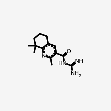 Cc1nc2c(cc1C(=O)NC(=N)N)CCCC2(C)C